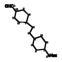 CCCCCCC1CCC(CCC2CCC(C=O)CC2)CC1